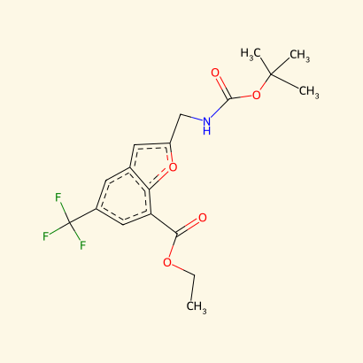 CCOC(=O)c1cc(C(F)(F)F)cc2cc(CNC(=O)OC(C)(C)C)oc12